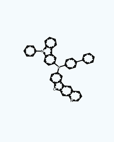 c1ccc(-c2ccc(N(c3ccc4oc5cc6ncccc6cc5c4c3)c3ccc4c(c3)c3ccccc3n4-c3ccccc3)cc2)cc1